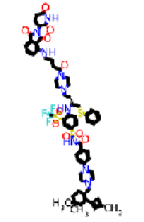 CC1(C)CCC(CN2CCN(c3ccc(C(=O)NS(=O)(=O)c4ccc(N[C@H](CCN5CCN(C(=O)CCCNc6cccc7c6C(=O)N(C6CCC(=O)NC6=O)C7=O)CC5)CSc5ccccc5)c(S(=O)(=O)C(F)(F)F)c4)cc3)CC2)=C(C23CC(C)(C2)C3)C1